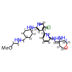 COCCNC[C@H]1CC[C@H](Nc2cc(-c3cccc(NCC4(N)CCOCC4)n3)c(Cl)cn2)CC1